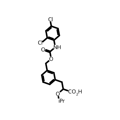 CC(C)OC(Cc1cccc(COC(=O)Nc2ccc(Cl)cc2Cl)c1)C(=O)O